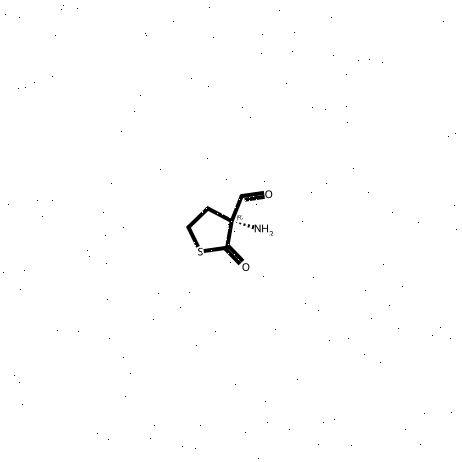 N[C@@]1(C=O)CCSC1=O